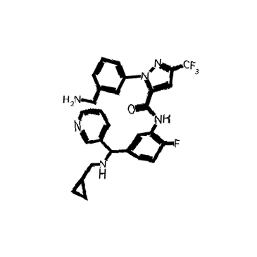 NCc1cccc(-n2nc(C(F)(F)F)cc2C(=O)Nc2cc(C(NCC3CC3)c3cccnc3)ccc2F)c1